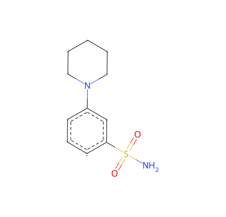 NS(=O)(=O)c1[c]ccc(N2CCCCC2)c1